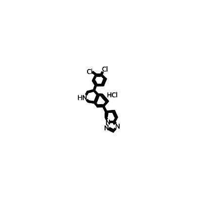 Cl.Clc1ccc(C2CNCc3cc(-c4ccc5ncnn5c4)ccc32)cc1Cl